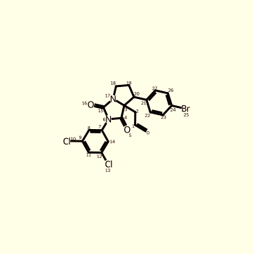 C=CCC12C(=O)N(c3cc(Cl)cc(Cl)c3)C(=O)N1CCC2c1ccc(Br)cc1